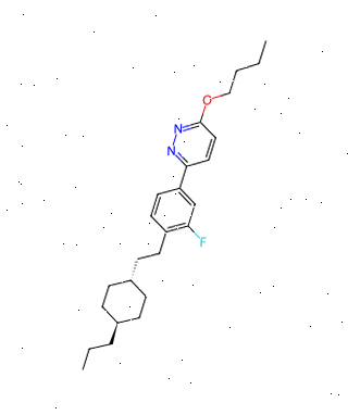 CCCCOc1ccc(-c2ccc(CC[C@H]3CC[C@H](CCC)CC3)c(F)c2)nn1